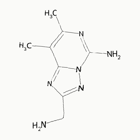 Cc1nc(N)n2nc(CN)nc2c1C